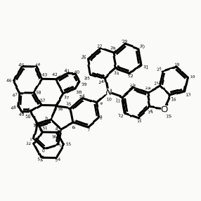 c1ccc2c(c1)-c1ccc(N(c3ccc4oc5ccccc5c4c3)c3cccc4ccccc34)cc1C21c2ccccc2-c2cccc3ccc(C4CCCCC4)c1c23